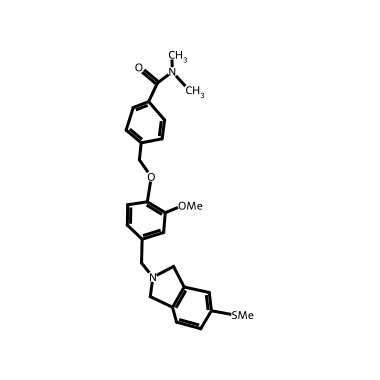 COc1cc(CN2Cc3ccc(SC)cc3C2)ccc1OCc1ccc(C(=O)N(C)C)cc1